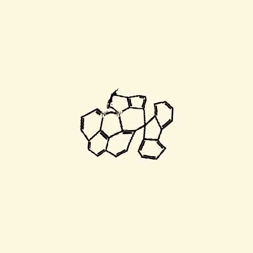 c1ccc2c(c1)-c1ccccc1C21c2cccc3c2[N+]2(c4c1ccc1ccc5ccc[n+]2c5c41)[n+]1ccccc1-3